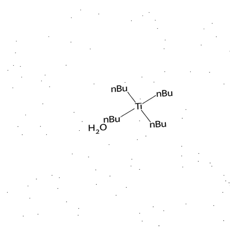 CCC[CH2][Ti]([CH2]CCC)([CH2]CCC)[CH2]CCC.O